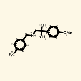 COc1ccc(C(C)(C)CNCc2ccc(C(F)(F)F)cc2)cc1